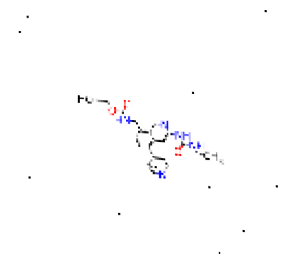 C#CCOC(=O)NCc1ccc(-c2ccncc2)c2cc(NC(=O)NCC)ncc12